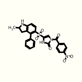 CC1Cc2c(ccc(S(=O)(=O)c3cn(C(=O)c4ccc([N+](=O)[O-])cc4)c(=O)[nH]3)c2-c2ccccc2)N1